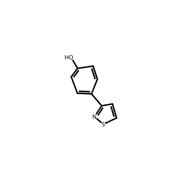 Oc1ccc(-c2ccsn2)cc1